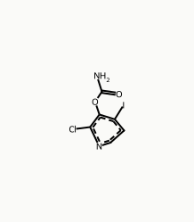 NC(=O)Oc1c(I)ccnc1Cl